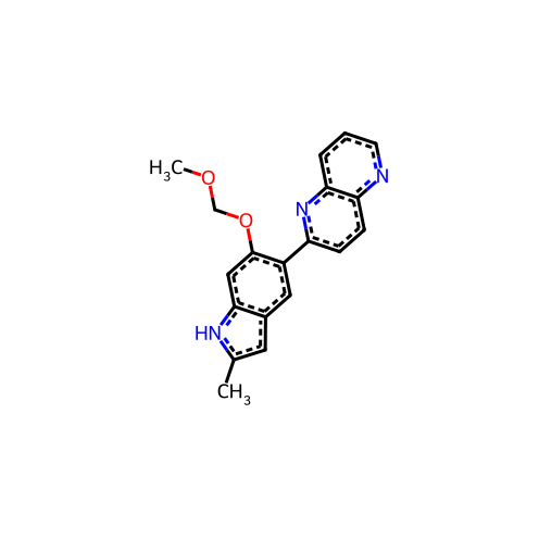 COCOc1cc2[nH]c(C)cc2cc1-c1ccc2ncccc2n1